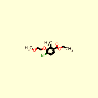 CCOC(=O)c1ccc(Br)c(OCCOC)c1C